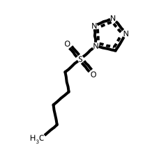 CCCCCS(=O)(=O)n1cnnn1